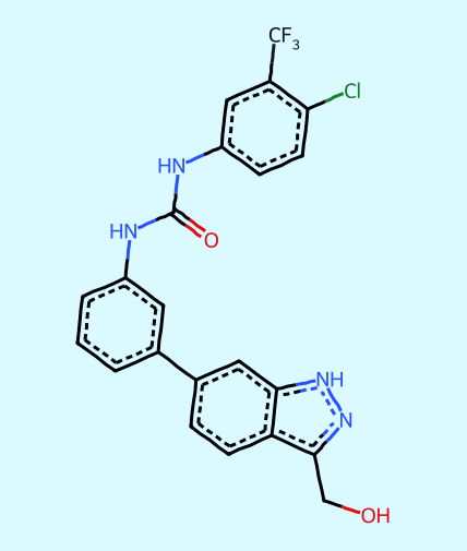 O=C(Nc1cccc(-c2ccc3c(CO)n[nH]c3c2)c1)Nc1ccc(Cl)c(C(F)(F)F)c1